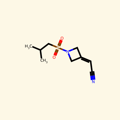 CC(C)CS(=O)(=O)N1CC(=CC#N)C1